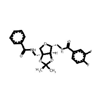 CC1(C)O[C@@H]2[C@@H](CNC(=O)c3ccc(F)c(F)c3)OC[C@]2(CNC(=O)c2ccccc2)O1